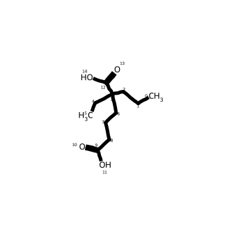 CCCC(CC)(CCCC(=O)O)C(=O)O